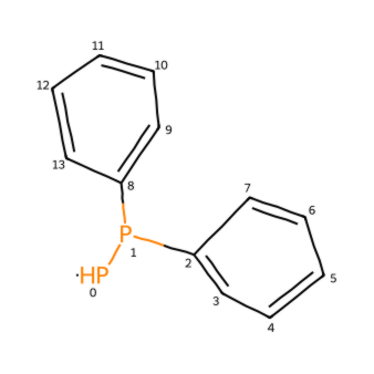 [PH]P(c1ccccc1)c1ccccc1